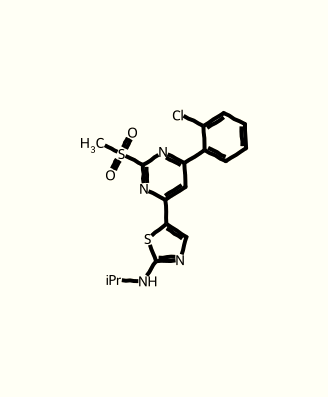 CC(C)Nc1ncc(-c2cc(-c3ccccc3Cl)nc(S(C)(=O)=O)n2)s1